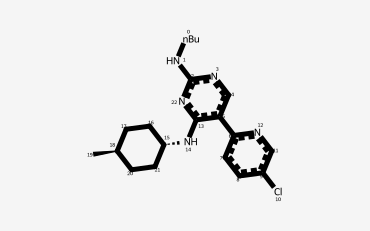 CCCCNc1ncc(-c2ccc(Cl)cn2)c(N[C@H]2CC[C@H](C)CC2)n1